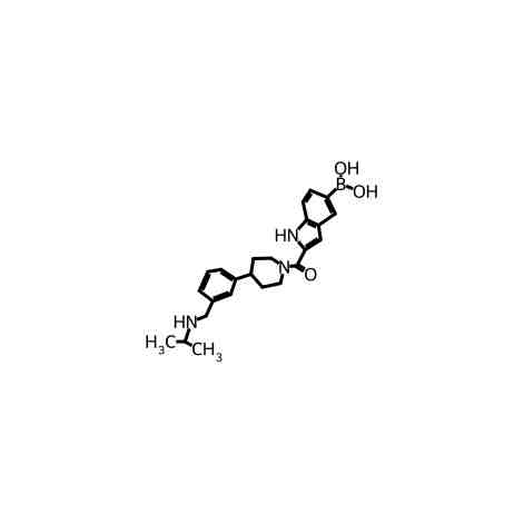 CC(C)NCc1cccc(C2CCN(C(=O)c3cc4cc(B(O)O)ccc4[nH]3)CC2)c1